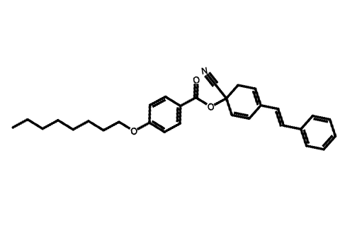 CCCCCCCCOc1ccc(C(=O)OC2(C#N)C=CC(C=Cc3ccccc3)=CC2)cc1